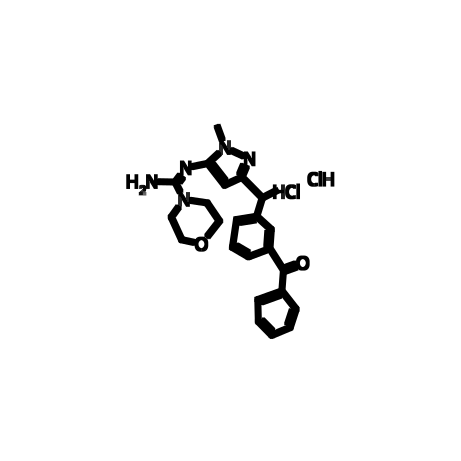 CC(c1cccc(C(=O)c2ccccc2)c1)c1cc(N=C(N)N2CCOCC2)n(C)n1.Cl.Cl